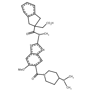 COc1cc2sc(N(C)C(=O)C3(CC(=O)O)Cc4ccccc4C3)nc2cc1C(=O)N1CCC(N(C)C)CC1